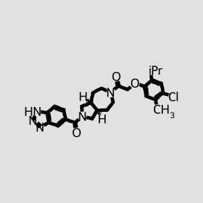 Cc1cc(OCC(=O)N2CC[C@@H]3CN(C(=O)c4ccc5[nH]nnc5c4)C[C@@H]3CC2)c(C(C)C)cc1Cl